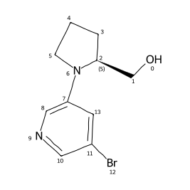 OC[C@@H]1CCCN1c1cncc(Br)c1